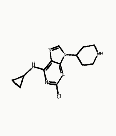 Clc1nc(NC2CC2)c2ncn(C3CCNCC3)c2n1